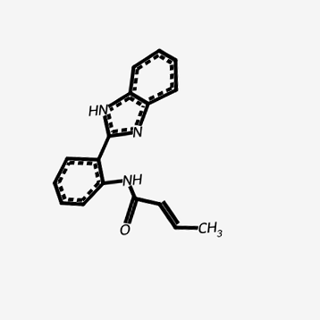 CC=CC(=O)Nc1ccccc1-c1nc2ccccc2[nH]1